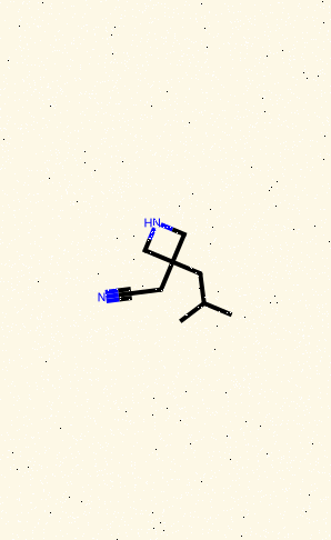 CC(C)CC1(CC#N)CNC1